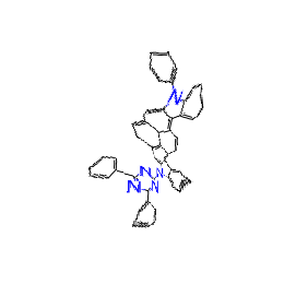 C1=Cc2c3c(cc4c2c2ccccc2n4-c2nc(-c4ccccc4)nc(-c4ccccc4)n2)CC=C2C=c4c(c5ccccc5n4-c4ccccc4)=C1C23